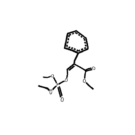 COC(=O)C(=COP(=O)(OC)OC)c1ccccc1